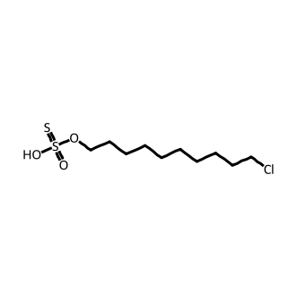 O=S(O)(=S)OCCCCCCCCCCCl